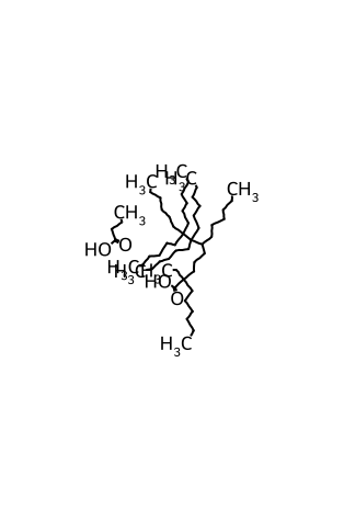 CCCC(=O)O.CCCCCCC(CCCC(CC)(CCCCCC)C(=O)O)C(CCCCCC)(CCCCCC)C(CCCCCC)(CCCCCC)CCCCCC